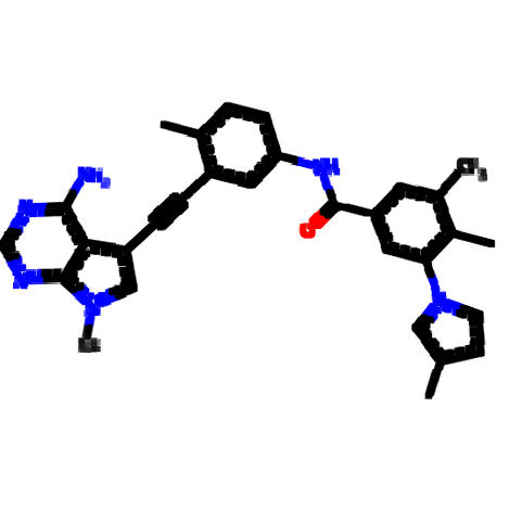 CCn1cc(C#Cc2cc(NC(=O)c3cc(-n4ccc(C)c4)c(C)c(C(F)(F)F)c3)ccc2C)c2c(N)ncnc21